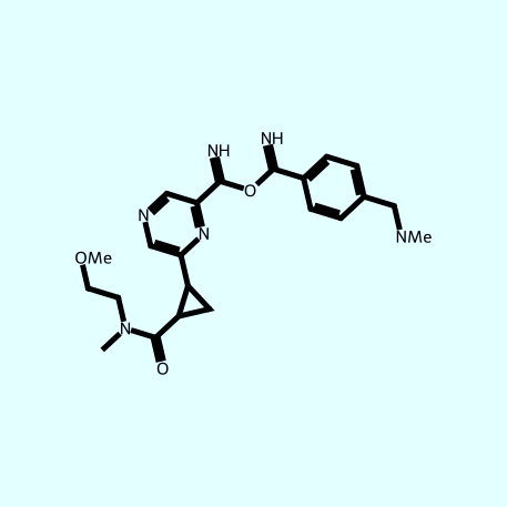 CNCc1ccc(C(=N)OC(=N)c2cncc(C3CC3C(=O)N(C)CCOC)n2)cc1